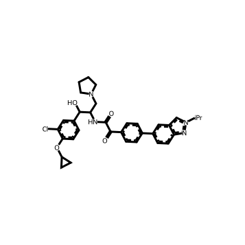 CC(C)n1cc2cc(-c3ccc(C(=O)C(=O)NC(CN4CCCC4)C(O)c4ccc(OC5CC5)c(Cl)c4)cc3)ccc2n1